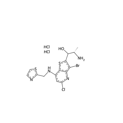 C[C@H](N)C(O)c1sc2c(NCc3nccs3)cc(Cl)nc2c1Br.Cl.Cl